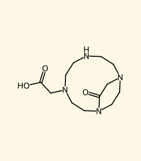 O=C(O)CN1CCNCCN2CCN(CC1)C(=O)C2